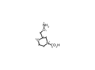 NOCC1CN(C(=O)O)CCO1